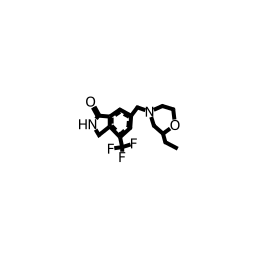 CCC1CN(Cc2cc3c(c(C(F)(F)F)c2)CNC3=O)CCO1